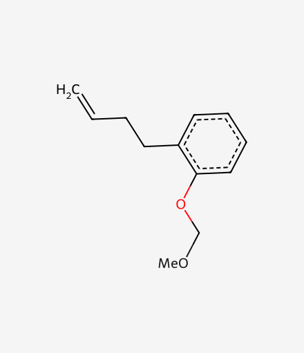 C=CCCc1ccccc1OCOC